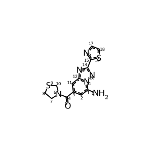 Nc1cc(C(=O)N2CCSC2)cc2nc(-c3nccs3)nn12